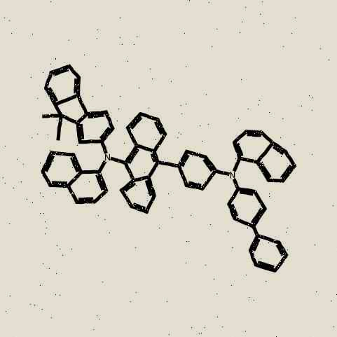 CC1(C)c2ccccc2-c2ccc(N(c3cccc4ccccc34)c3c4ccccc4c(-c4ccc(N(c5ccc(-c6ccccc6)cc5)c5cccc6ccccc56)cc4)c4ccccc34)cc21